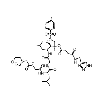 Cc1ccc(S(=O)(=O)OCC(C)(OC(=O)CCC(=O)NCc2c[nH]nn2)C(=O)[C@H](CC(C)C)NC(=O)CNC(=O)[C@H](CC(C)C)NC(=O)CNC(=O)CN2CCOCC2)cc1